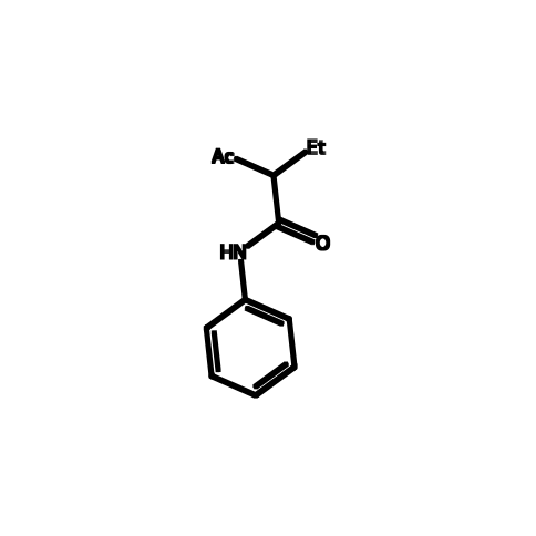 CCC(C(C)=O)C(=O)Nc1ccccc1